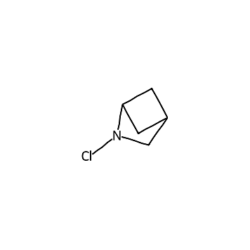 ClN1CC2CC1C2